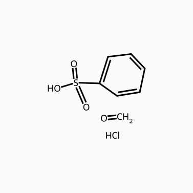 C=O.Cl.O=S(=O)(O)c1ccccc1